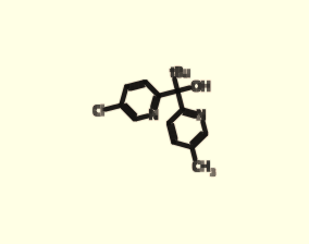 Cc1ccc(C(O)(c2ccc(Cl)cn2)C(C)(C)C)nc1